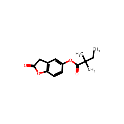 CCC(C)(C)C(=O)Oc1ccc2c(c1)CC(=O)O2